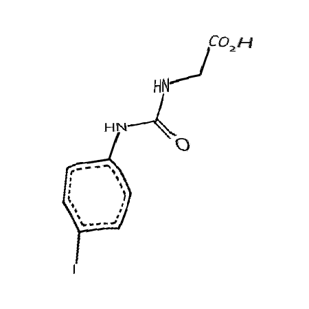 O=C(O)CNC(=O)Nc1ccc(I)cc1